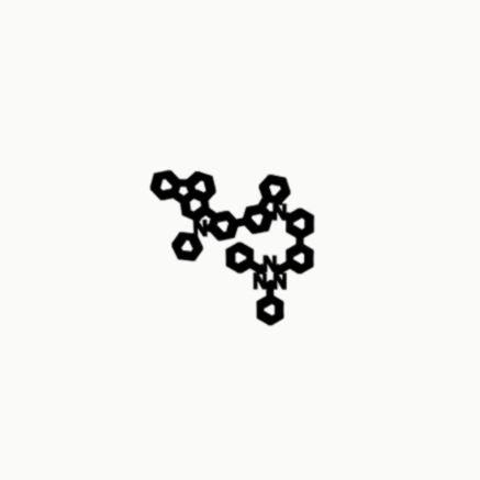 c1ccc(-c2nc(-c3ccccc3)nc(-c3cccc(-c4cccc(-n5c6ccccc6c6cc(-c7ccc8c(c7)c7c9cccc%10c9c(cc7n8-c7ccccc7)-c7ccccc7-%10)ccc65)c4)c3)n2)cc1